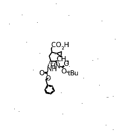 C[C@@H](NC(=O)OC(C)(C)C)[C@H](CNC(=O)OCc1ccccc1)CC(CC(=O)O)C1CC1